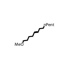 CCCCCCCC=CCCC[CH]OC